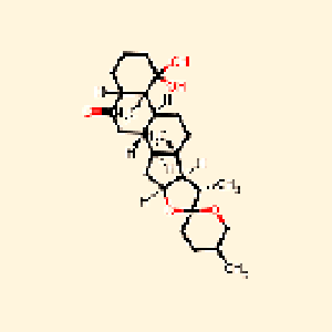 CC1CC[C@@]2(OC1)O[C@H]1C[C@H]3[C@@H]4CC(=O)[C@@H]5CCCC(O)(O)[C@]5(C)[C@H]4CC[C@]3(C)[C@H]1[C@@H]2C